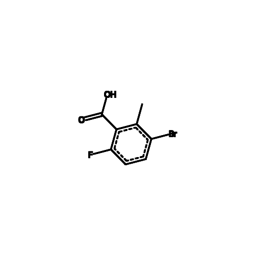 Cc1c(Br)ccc(F)c1C(=O)O